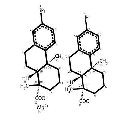 CC(C)c1ccc2c(c1)CC[C@H]1[C@@](C)(C(=O)[O-])CCC[C@]21C.CC(C)c1ccc2c(c1)CC[C@H]1[C@@](C)(C(=O)[O-])CCC[C@]21C.[Mg+2]